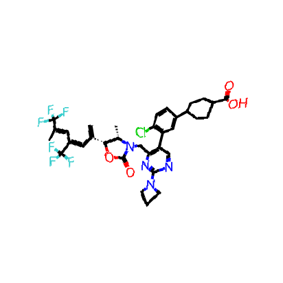 C=C(/C=C(\C=C(/C)C(F)(F)F)C(F)(F)F)[C@H]1OC(=O)N(Cc2nc(N3CCC3)ncc2-c2cc(C3CCC(C(=O)O)CC3)ccc2Cl)[C@H]1C